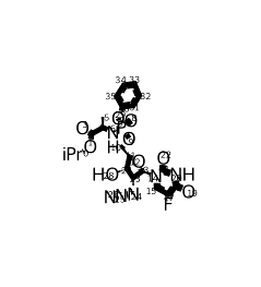 CC(C)OC(=O)[C@@H](C)N[P@](=O)(OC[C@H]1O[C@@H](n2cc(F)c(=O)[nH]c2=O)[C@H](N=[N+]=[N-])[C@@H]1O)Oc1ccccc1